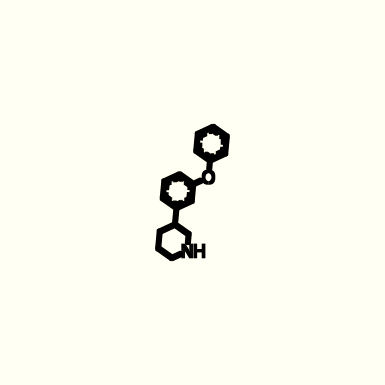 c1ccc(Oc2cccc(C3CCCNC3)c2)cc1